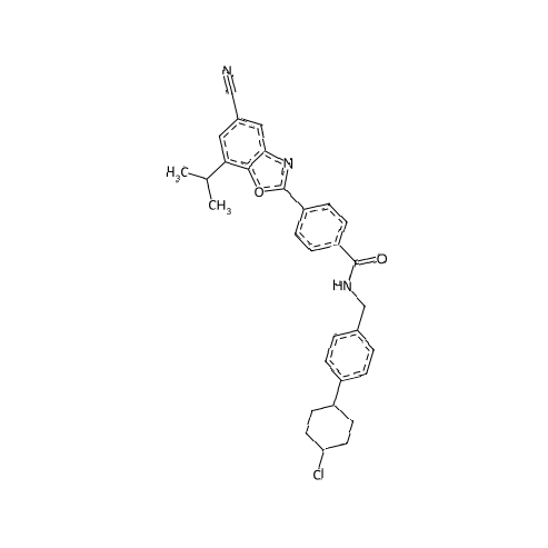 CC(C)c1cc(C#N)cc2nc(-c3ccc(C(=O)NCc4ccc(C5CCC(Cl)CC5)cc4)cc3)oc12